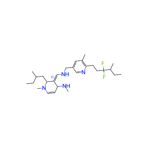 CCC(C)CC1/C(=C/NCc2cnc(CCC(F)(F)C(C)CC)c(C)c2)C(NC)C=CN1C